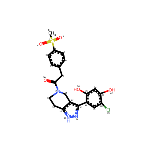 CS(=O)(=O)c1ccc(CC(=O)N2CCc3[nH]nc(-c4cc(Cl)c(O)cc4O)c3C2)cc1